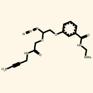 BC#CCNC(=O)COC(COc1cccc(C(=O)NCNC)c1)N=[N+]=[N-]